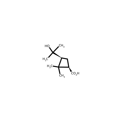 CC(C)(O)[C@H]1C[C@@H](C(=O)O)C1(C)C